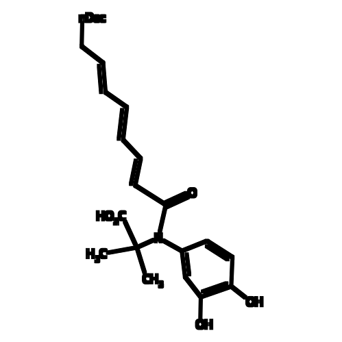 CCCCCCCCCCCC=CC=CC=CC(=O)N(c1ccc(O)c(O)c1)C(C)(C)C(=O)O